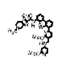 COc1cc(NCc2ccc(-c3cccc(-c4cccc(NC(=O)c5nc6c(n5C)CCN(C)C6)c4Cl)c3Cl)nc2OC)ccn1